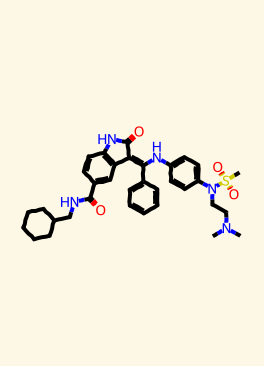 CN(C)CCN(c1ccc(N/C(=C2\C(=O)Nc3ccc(C(=O)NCC4CCCCC4)cc32)c2ccccc2)cc1)S(C)(=O)=O